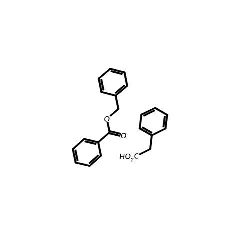 O=C(O)Cc1ccccc1.O=C(OCc1ccccc1)c1ccccc1